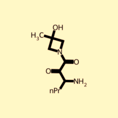 CCCC(N)C(=O)C(=O)N1CC(C)(O)C1